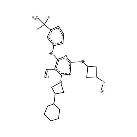 CCCSC1CC(Nc2nc(Nc3cccc(C(C)(F)F)c3)c(C=N)c(N3CC(N4CCCCC4)C3)n2)C1